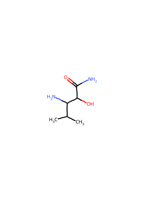 CC(C)C(N)C(O)C(N)=O